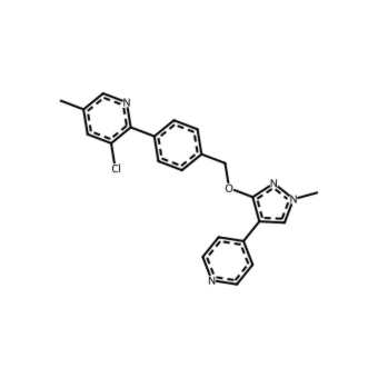 Cc1cnc(-c2ccc(COc3nn(C)cc3-c3ccncc3)cc2)c(Cl)c1